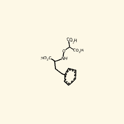 O=C(O)C(Cc1ccccc1)NOC(C(=O)O)C(=O)O